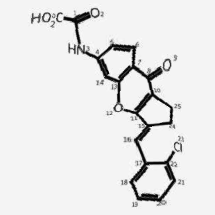 O=C(O)C(=O)Nc1ccc2c(=O)c3c(oc2c1)C(=Cc1ccccc1Cl)CC3